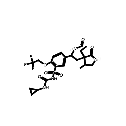 CCC1(CC(NC=O)c2ccc(OCC(F)(F)F)c(S(=O)(=O)NC(=O)NC3CC3)c2)C(=O)NCC1C